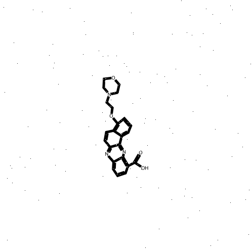 O=C(O)c1cccc2nc3ccc4c(OCCN5CCOCC5)cccc4c3nc12